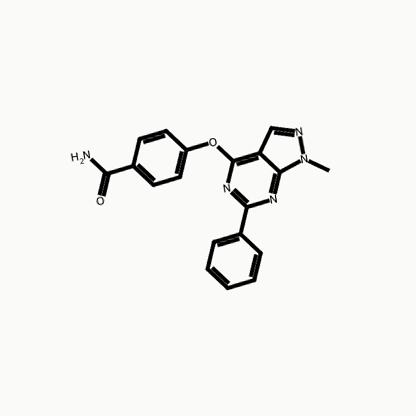 Cn1ncc2c(Oc3ccc(C(N)=O)cc3)nc(-c3ccccc3)nc21